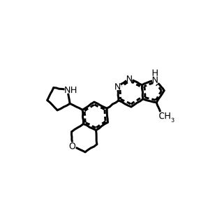 Cc1c[nH]c2nnc(-c3cc4c(c(C5CCCN5)c3)COCC4)cc12